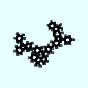 CC1(C)c2ccccc2-c2cc3c4cc(-c5ccc(N(c6ccc(-c7ccc8c(c7)c7ccccc7n8-c7ccccc7)cc6)c6cccc7c6-c6ccccc6C7(C)C)cc5)ccc4n(-c4ccccc4)c3cc21